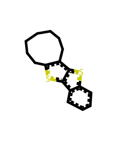 c1ccc2c(c1)sc1c3c(sc12)CCCCCCC3